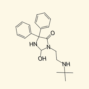 CC(C)(C)NCCN1C(=O)C(c2ccccc2)(c2ccccc2)NC1O